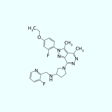 CCOc1ccc(-n2nc3c(N4CCC(NCc5ncccc5F)C4)nnc(C)c3c2C)c(F)c1